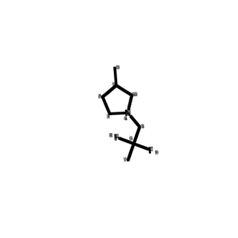 CC1CCN(CC(C)(F)F)C1